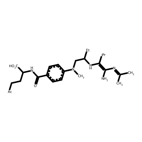 CCC(CN(C)c1ccc(C(=O)NC(CCC(C)=O)C(=O)O)cc1)N/C(=C(\N)N=C(C)C)C(C)C